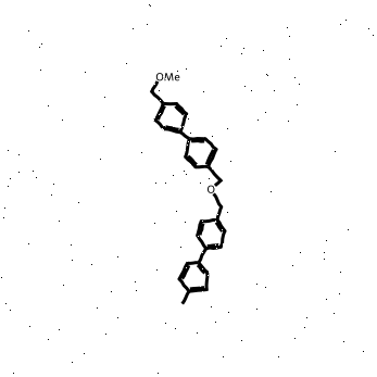 COCc1ccc(-c2ccc(COCc3ccc(-c4ccc(C)cc4)cc3)cc2)cc1